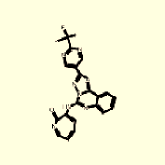 O=c1nccccc1Nc1nc2ccccc2c2nc(-c3cnc(C(F)(F)F)nc3)nn12